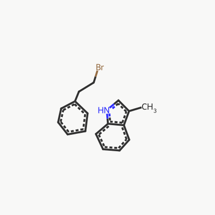 BrCCc1ccccc1.Cc1c[nH]c2ccccc12